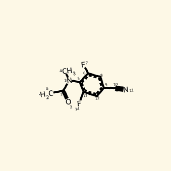 [CH2]C(=O)N(C)c1c(F)cc(C#N)cc1F